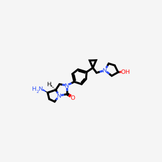 N[C@@H]1CCN2C(=O)N(c3ccc(C4(CN5CCC(O)C5)CC4)cc3)C[C@H]12